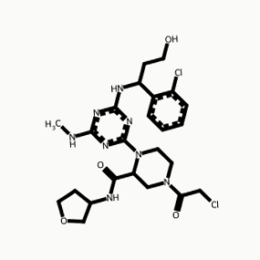 CNc1nc(NC(CCO)c2ccccc2Cl)nc(N2CCN(C(=O)CCl)CC2C(=O)NC2CCOC2)n1